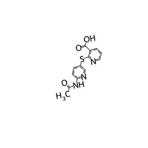 CC(=O)Nc1ccc(Sc2ncccc2C(=O)O)cn1